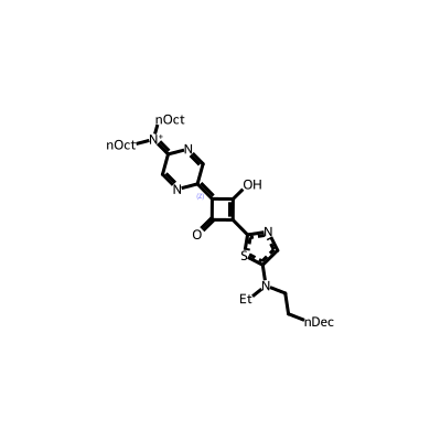 CCCCCCCCCCCCN(CC)c1cnc(C2=C(O)/C(=C3\C=NC(=[N+](CCCCCCCC)CCCCCCCC)C=N3)C2=O)s1